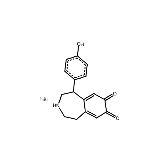 Br.O=C1C=C2CCNCC(c3ccc(O)cc3)C2=CC1=O